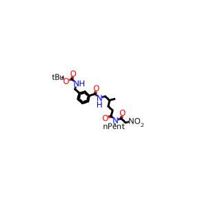 CCCCCN(C(=O)CCC(C)CNC(=O)c1cccc(CNC(=O)OC(C)(C)C)c1)C(=O)C[N+](=O)[O-]